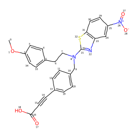 COc1ccc(CCN(Cc2ccc(C#CC(=O)O)cc2)c2nc3cc([N+](=O)[O-])ccc3s2)cc1